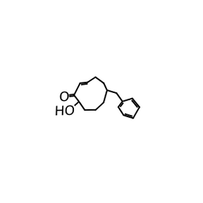 O=C1/C=C/CCC(Cc2ccccc2)CCCC1O